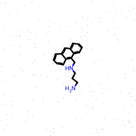 NCCCNCc1c2ccccc2cc2ccccc12